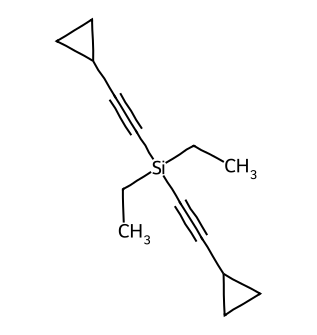 CC[Si](C#CC1CC1)(C#CC1CC1)CC